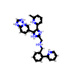 Cc1cccc(-c2nc(CNCc3ccccc3-c3ccccn3)[nH]c2-c2ccc3ncnn3c2)n1